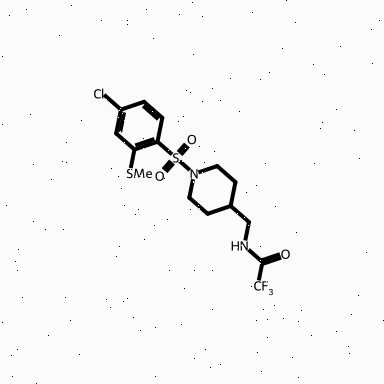 CSc1cc(Cl)ccc1S(=O)(=O)N1CCC(CNC(=O)C(F)(F)F)CC1